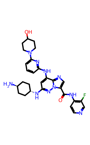 N[C@H]1CC[C@H](Nc2cc(Nc3cccc(N4CCC(O)CC4)n3)c3ncc(C(=O)Nc4ccncc4F)n3n2)CC1